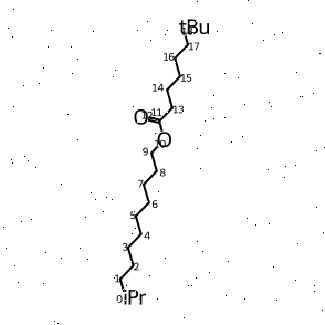 CC(C)CCCCCCCCCOC(=O)CCCCCC(C)(C)C